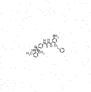 Bc1ccc(OCCc2ccccc2)c(C(=O)NC(=S)Nc2ccc(S(=O)(=O)Nc3c(C)cccc3C)cc2)c1